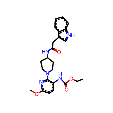 CCOC(=O)Nc1ccc(OC)nc1N1CCC(NC(=O)Cc2c[nH]c3ccccc23)CC1